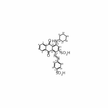 O=C1c2ccccc2C(=O)c2c(N=Nc3ccc(S(=O)(=O)O)cc3)c(S(=O)(=O)O)cc(NC3CCCCC3)c21